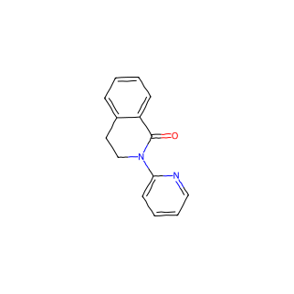 O=C1c2ccccc2CCN1c1ccccn1